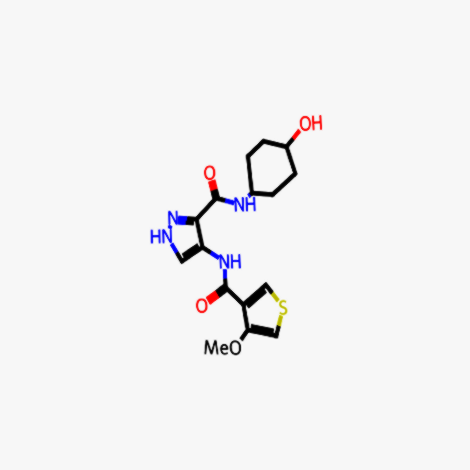 COc1cscc1C(=O)Nc1c[nH]nc1C(=O)NC1CCC(O)CC1